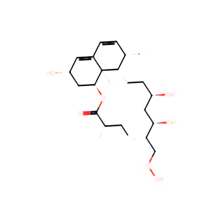 CC[C@H](C)C(=O)O[C@H]1C[C@H](O)C=C2C=C[C@H](C)[C@H](CC[C@@H](O)C[C@@H](O)CCOO)[C@H]21